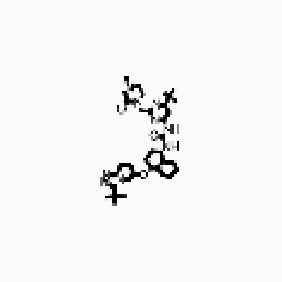 CN1CCN(Cc2nc(NC(=O)N[C@H]3CC[C@@H](Oc4ccc5nnc(C(C)(C)C)n5c4)c4ccccc43)cc(C(C)(C)C)n2)C(=O)C1